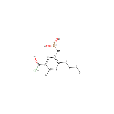 CCCCc1cc(C)c(C(=O)Cl)cc1C[SH](=O)=O